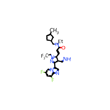 CCN(CC1CCC(C)C1)C(=O)/C=C/C1C(C=N)C(c2cnc3c(F)cc(F)cn23)=NN1CC(F)(F)F